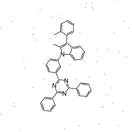 Cc1ccccc1-c1c(C)n(-c2cccc(-c3nc(-c4ccccc4)nc(-c4ccccc4)n3)c2)c2ccccc12